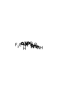 Cn1c(Nc2cccc(C(F)(F)F)c2)nc2cc(Oc3ccnc(C(=O)NC4CCNC4)c3)ccc21